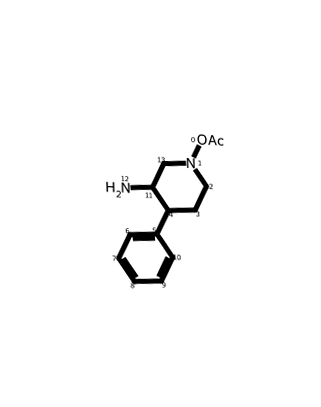 CC(=O)ON1CCC(c2ccccc2)C(N)C1